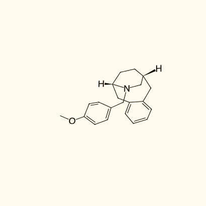 COc1ccc(CN2C[C@@H]3CC[C@H]2Cc2ccccc2C3)cc1